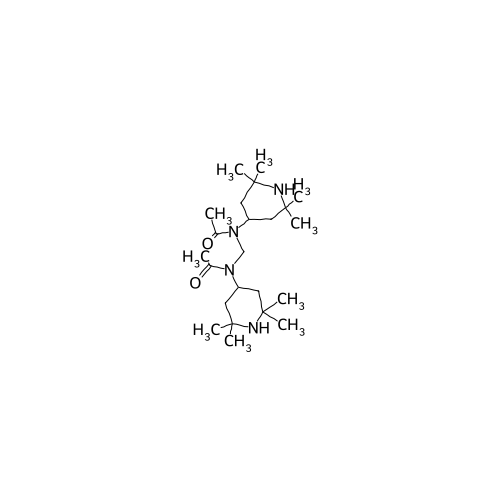 CC(=O)N(CN(C(C)=O)C1CC(C)(C)NC(C)(C)C1)C1CC(C)(C)NC(C)(C)C1